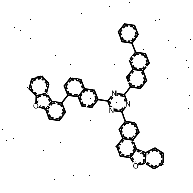 c1ccc(-c2ccc3ccc(-c4nc(-c5ccc6c(-c7cccc8oc9ccccc9c78)cccc6c5)nc(-c5ccc6c(ccc7oc8ccccc8c76)c5)n4)cc3c2)cc1